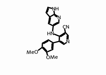 COc1ccc(-c2cncc(C#N)c2Nc2cnc3[nH]ccc3c2)cc1OC